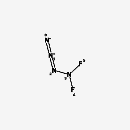 [N-]=[N+]=NN(F)F